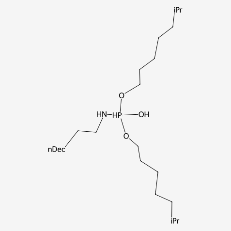 CCCCCCCCCCCCN[PH](O)(OCCCCCC(C)C)OCCCCCC(C)C